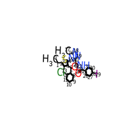 CCc1cc(C(=O)c2ccccc2Cl)c(-n2c(C)nnc2CNC(=O)c2ccc(I)cc2)s1